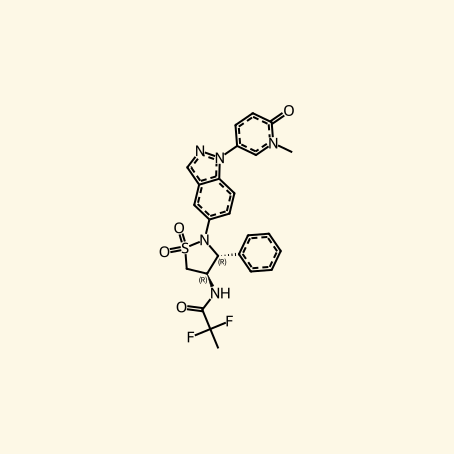 Cn1cc(-n2ncc3cc(N4[C@H](c5ccccc5)[C@@H](NC(=O)C(C)(F)F)CS4(=O)=O)ccc32)ccc1=O